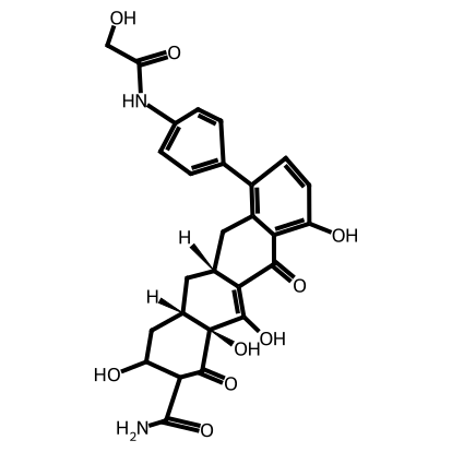 NC(=O)C1C(=O)[C@@]2(O)C(O)=C3C(=O)c4c(O)ccc(-c5ccc(NC(=O)CO)cc5)c4C[C@H]3C[C@H]2CC1O